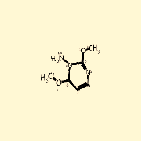 COC1=NC=CC(OC)N1N